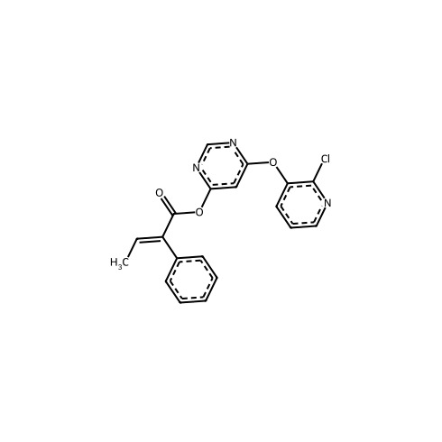 CC=C(C(=O)Oc1cc(Oc2cccnc2Cl)ncn1)c1ccccc1